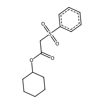 O=C(CS(=O)(=O)c1ccccc1)OC1CCCCC1